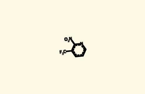 O=[N+]([O-])c1ncccc1C(F)(F)F